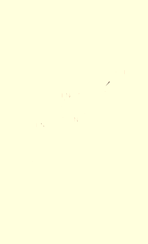 Cc1ccc2[nH]c(C(=O)N[C@H]3CC[C@H](C(C)(C)O)C[C@H]3N)cc2c1